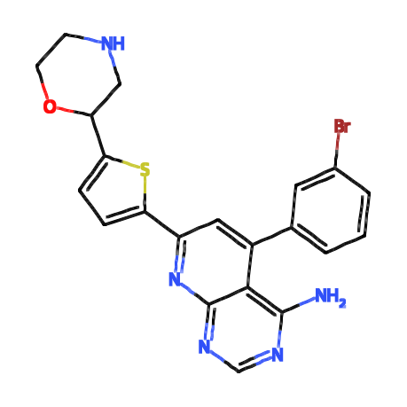 Nc1ncnc2nc(-c3ccc(C4CNCCO4)s3)cc(-c3cccc(Br)c3)c12